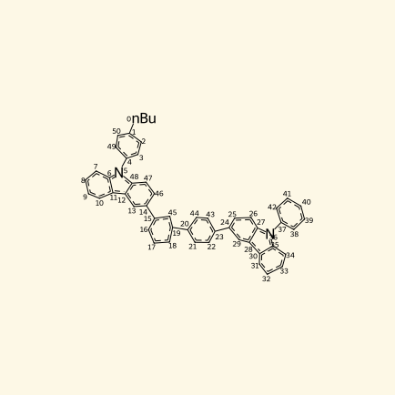 CCCCc1ccc(-n2c3ccccc3c3cc(-c4cccc(-c5ccc(-c6ccc7c(c6)c6ccccc6n7-c6ccccc6)cc5)c4)ccc32)cc1